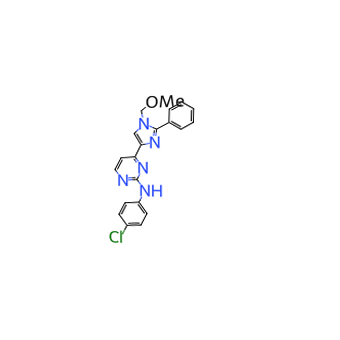 COCn1cc(-c2ccnc(Nc3ccc(Cl)cc3)n2)nc1-c1ccccc1